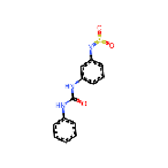 O=C(Nc1ccccc1)Nc1cccc(N=S(=O)=O)c1